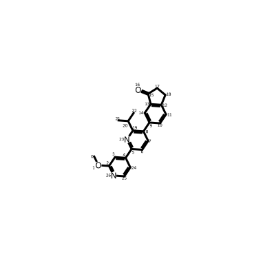 COc1cc(-c2ccc(-c3ccc4c(c3)C(=O)CC4)c(C(C)C)n2)ccn1